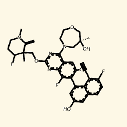 C#Cc1c(F)ccc2cc(O)cc(-c3c(Cl)cc4c(N5CCOC[C@@](C)(O)C5)nc(OCC5(C)C(=C)N(C)CCC5F)nc4c3F)c12